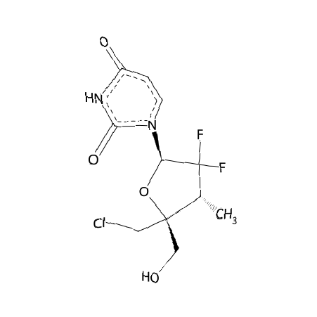 C[C@H]1C(F)(F)[C@H](n2ccc(=O)[nH]c2=O)O[C@@]1(CO)CCl